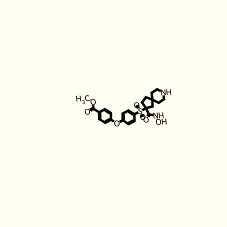 COC(=O)c1ccc(Oc2ccc(S(=O)(=O)C3(C(=O)NO)CCC4(CCNCC4)C3)cc2)cc1